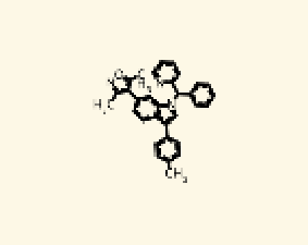 Cc1ccc(-c2cn(C(c3ccccc3)c3ccccn3)c3cc(-c4c(C)noc4C)ccc23)cc1